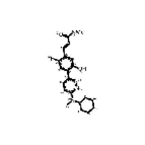 CNC(=O)/C=C/c1cc(O)c(-c2ccc(N(C)C3CCCCC3)nn2)cc1F